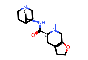 O=C(NC1CN2CCC1CC2)[C@@H]1CC2=C(CN1)OCC2